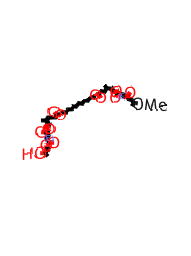 COC(C)CCC(=O)/C=C/C(=O)OCCC(C)CCC(=O)OCCCCCCCCCCCCOC(=O)CCC(C)CCOC(=O)/C=C/C(=O)OCC(C)O